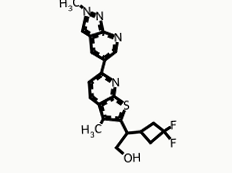 Cc1c(C(CO)C2CC(F)(F)C2)sc2nc(-c3cnc4nn(C)cc4c3)ccc12